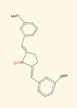 COc1cccc(/C=C2\CC/C(=C\c3cccc(OC)c3)C2=O)c1